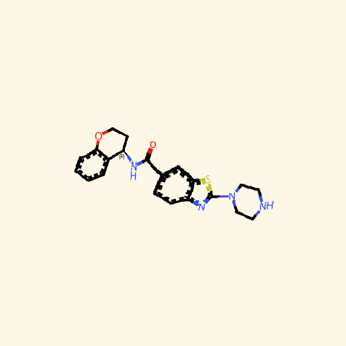 O=C(N[C@@H]1CCOc2ccccc21)c1ccc2nc(N3CCNCC3)sc2c1